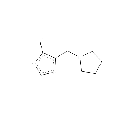 CC(C)c1ocnc1CN1CCCC1